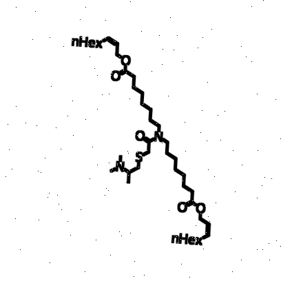 CCCCCC/C=C\COC(=O)CCCCCCCN(CCCCCCCC(=O)OC/C=C\CCCCCC)C(=O)CSCC(C)N(C)C